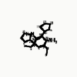 CCC1=CC(CC)(C2CCCC2)C(N)=C(C2CCCC2)C1N